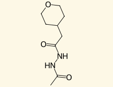 CC(=O)NNC(=O)CC1CCOCC1